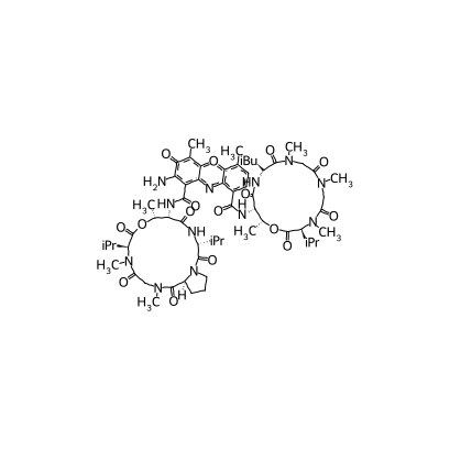 CC[C@H](C)[C@H]1NC(=O)[C@@H](NC(=O)c2ccc(C)c3oc4c(C)c(=O)c(N)c(C(=O)N[C@@H]5C(=O)N[C@H](C(C)C)C(=O)N6CCC[C@H]6C(=O)N(C)CC(=O)N(C)[C@@H](C(C)C)C(=O)O[C@@H]5C)c-4nc23)[C@@H](C)OC(=O)[C@H](C(C)C)N(C)C(=O)CN(C)C(=O)CN(C)C1=O